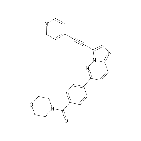 O=C(c1ccc(-c2ccc3ncc(C#Cc4ccncc4)n3n2)cc1)N1CCOCC1